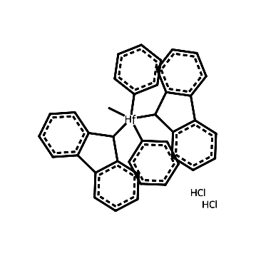 Cl.Cl.[CH3][Hf]([c]1ccccc1)([c]1ccccc1)([CH]1c2ccccc2-c2ccccc21)[CH]1c2ccccc2-c2ccccc21